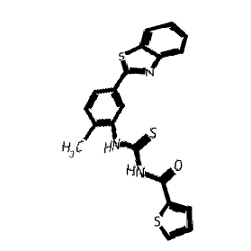 Cc1ccc(-c2nc3ccccc3s2)cc1NC(=S)NC(=O)c1cccs1